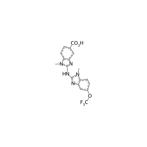 Cn1c(Nc2nc3cc(C(=O)O)ccc3n2C)nc2cc(OC(F)(F)F)ccc21